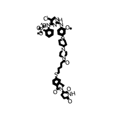 COc1cc(N2CCC(N3CCN(C(=O)CCCCSc4ccc5c(c4)CN(C4CCC(=O)NC4=O)C5=O)CC3)CC2)ccc1Nc1ncc(Cl)c(Nc2ccccc2P(=O)(OC)OC)n1